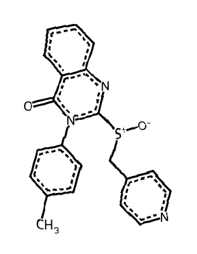 Cc1ccc(-n2c([S+]([O-])Cc3ccncc3)nc3ccccc3c2=O)cc1